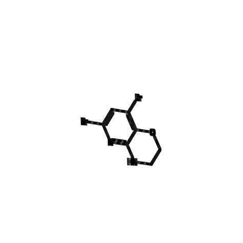 Brc1cc(Br)c2c(n1)NCCO2